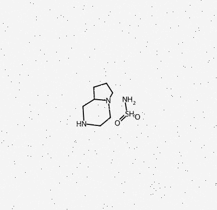 C1CC2CNCCN2C1.N[SH](=O)=O